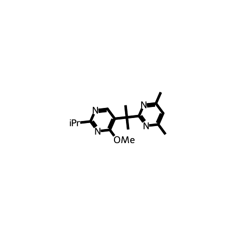 COc1nc(C(C)C)ncc1C(C)(C)c1nc(C)cc(C)n1